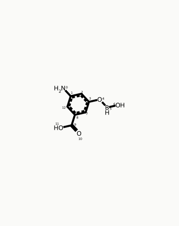 Nc1cc(OBO)cc(C(=O)O)c1